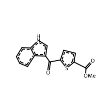 COC(=O)c1ccc(C(=O)c2c[nH]c3ccccc23)s1